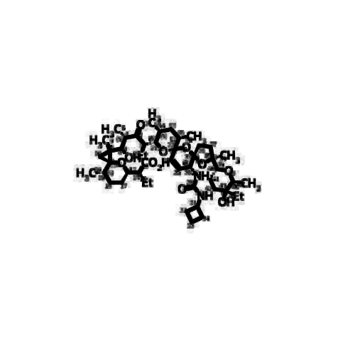 CCC(C(=O)[C@@H](C)[C@@H](O)C1(C)C[C@]12O[C@@H]([C@@H](CC)C(=O)O)CC[C@@H]2C)[C@H]1O[C@]2(C=C[C@@H](NC(=O)NC3CCC3)[C@]3(CC[C@@](C)([C@H]4CC[C@](O)(CC)[C@H](C)O4)O3)O2)[C@H](C)C[C@@H]1C